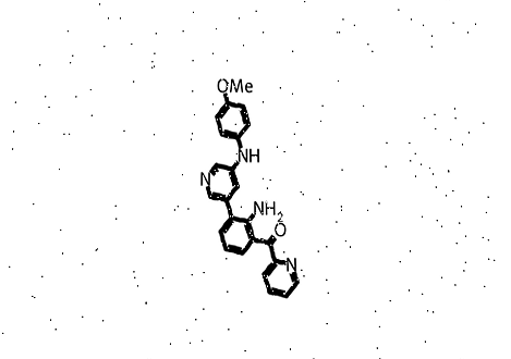 COc1ccc(Nc2cncc(-c3cccc(C(=O)c4ccccn4)c3N)c2)cc1